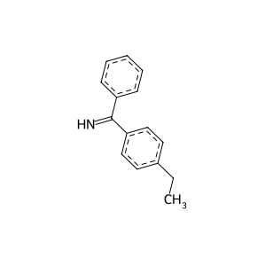 CCc1ccc(C(=N)c2ccccc2)cc1